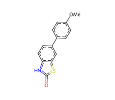 COc1ccc(-c2ccc3[nH]c(=O)sc3c2)cc1